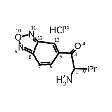 CC(C)C(N)C(=O)c1ccc2nonc2c1.Cl